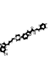 N#Cc1ccc2[nH]cc(CCCCN3CCN(c4ccc5oc(C(=O)NCCc6ccccc6)cc5c4)CC3)c2c1